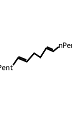 [CH2]CCCCC=CCCC=CCCCCC